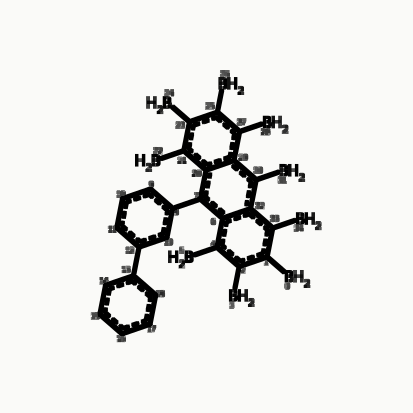 Bc1c(B)c(B)c2c(-c3cccc(-c4ccccc4)c3)c3c(B)c(B)c(B)c(B)c3c(B)c2c1B